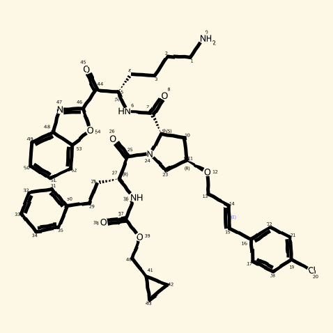 NCCCC[C@H](NC(=O)[C@@H]1C[C@@H](OC/C=C/c2ccc(Cl)cc2)CN1C(=O)[C@@H](CCc1ccccc1)NC(=O)OCC1CC1)C(=O)c1nc2ccccc2o1